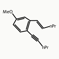 CCCC#Cc1ccc(OC)cc1/C=C/CCC